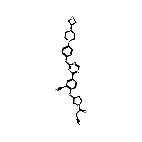 N#CCC(=O)N1CCC(Oc2ccc(-c3ncnc(Nc4ccc(N5CCN(C6COC6)CC5)cc4)n3)cc2C#N)C1